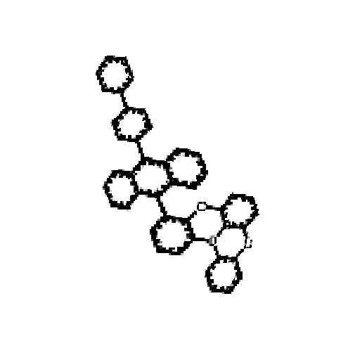 c1ccc(-c2ccc(-c3c4ccccc4c(-c4cccc5c4Oc4cccc6c4B5c4ccccc4O6)c4ccccc34)cc2)cc1